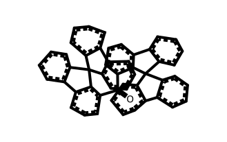 O=C(c1cccc2c1C1(c3ccccc3-c3ccccc31)c1ccccc1-2)c1cccc2c1C1(c3ccccc3-c3ccccc31)c1ccccc1-2